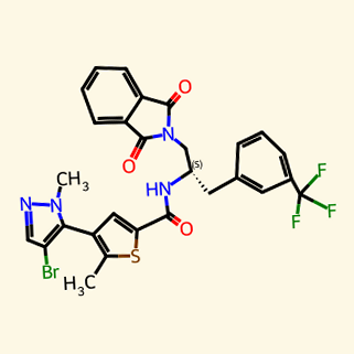 Cc1sc(C(=O)N[C@@H](Cc2cccc(C(F)(F)F)c2)CN2C(=O)c3ccccc3C2=O)cc1-c1c(Br)cnn1C